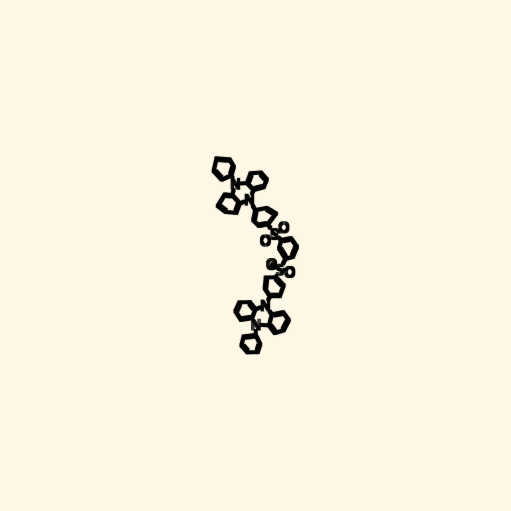 O=S(=O)(c1ccc(N2c3ccccc3N(c3ccccc3)c3ccccc32)cc1)c1cccc(S(=O)(=O)c2ccc(N3c4ccccc4N(c4ccccc4)c4ccccc43)cc2)c1